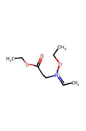 CC=[N+](CC(=O)OCC)OCC